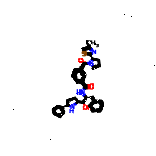 Cc1csc([C@H]2CCCN2C(=O)c2cccc(C(=O)N[C@@H](Cc3ccccc3)[C@@H](O)[C@@H]3CC[C@H](c4ccccc4)N3)c2)n1